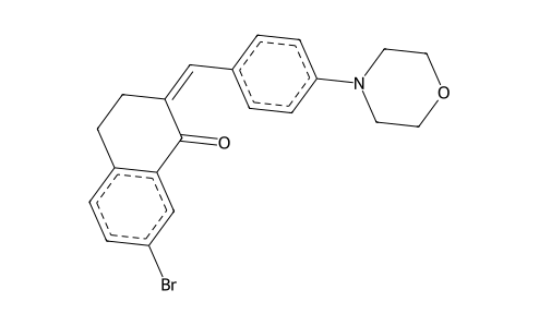 O=C1C(=Cc2ccc(N3CCOCC3)cc2)CCc2ccc(Br)cc21